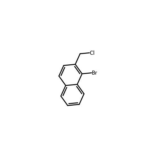 ClCc1ccc2ccccc2c1Br